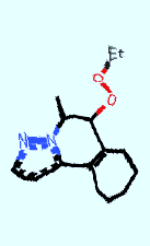 CCOOC1C2=C(CCCC2)c2ccnn2C1C